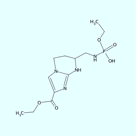 CCOC(=O)c1cn2c(n1)NC(CNP(=O)(O)OCC)CC2